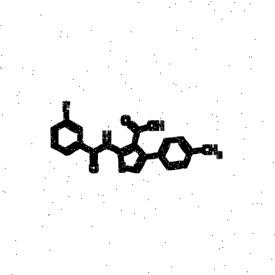 Cc1ccc(-c2csc(NC(=O)c3cccc(F)c3)c2C(=O)O)cc1